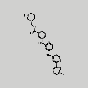 Cc1cccc(-c2nccc(Nc3ccnc(Nc4cncc(C(=O)OC[C@@H]5CCCNC5)c4)n3)n2)n1